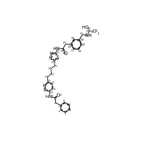 O=C(Cc1ccccc1)Nc1ccc(CCCCc2nnc(NC(=O)Cc3cccc(CNC(O)C(F)(F)F)c3)s2)nn1